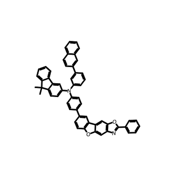 CC1(C)c2ccccc2-c2cc(N(c3ccc(-c4ccc5oc6cc7nc(-c8ccccc8)oc7cc6c5c4)cc3)c3cccc(-c4ccc5ccccc5c4)c3)ccc21